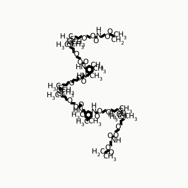 C=C(C)C(=O)OCCNC(=O)OCCOCCC[Si](C)(C)O[Si](C)(C)CCCOCCOC(=O)NC1CC(C)(C)CC(C)(CNC(=O)OCCOCCC[Si](C)(C)O[Si](C)(C)CCCOCCOC(=O)NCC2(C)CC(NC(=O)OCCOCCC[Si](C)(C)O[Si](C)(C)CCCOCCOC(=O)NCCOC(=O)C(=C)C)CC(C)(C)C2)C1